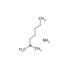 CCCCCN(C)C.N